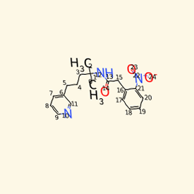 CC(C)(CCCc1cccnc1)NC(=O)Cc1ccccc1[N+](=O)[O-]